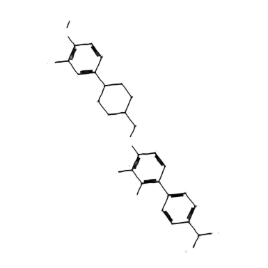 CCCC(O)c1ccc(-c2ccc(OCC3CCC(c4ccc(OCC)c(F)c4)CC3)c(F)c2F)cc1